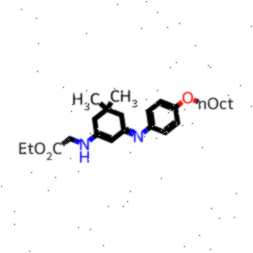 CCCCCCCCOc1ccc(/N=C2/C=C(NCC(=O)OCC)CC(C)(C)C2)cc1